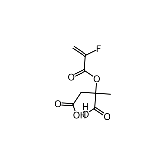 C=C(F)C(=O)OC(C)(CC(=O)O)C(=O)O